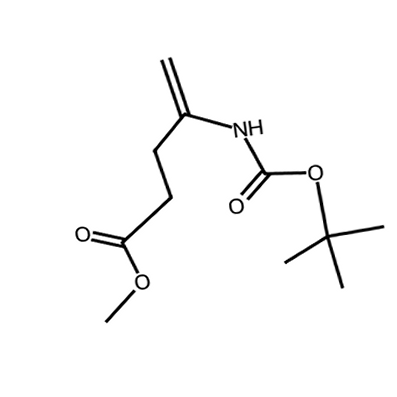 C=C(CCC(=O)OC)NC(=O)OC(C)(C)C